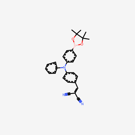 CC1(C)OB(c2ccc(N(c3ccccc3)c3ccc(C=C(C#N)C#N)cc3)cc2)OC1(C)C